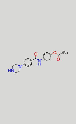 CC(C)(C)C(=O)Oc1ccc(NC(=O)c2ccc(N3CCNCC3)cc2)cc1